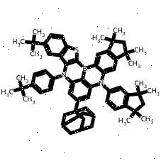 CC(C)(C)c1ccc(N2c3cc(C45CC6CC(CC(C6)C4)C5)cc4c3B(c3cc5c(cc3N4c3ccc4c(c3)C(C)(C)CC4(C)C)C(C)(C)CC5(C)C)c3sc4ccc(C(C)(C)C)cc4c32)cc1